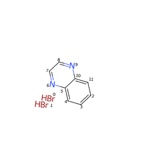 Br.Br.c1ccc2nccnc2c1